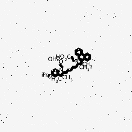 CC(C)Oc1ccc2c(c1)C(C)(C)/C(=C/C=C/C=C/C1=[N+](CCC(=O)O)c3c(c4ccccc4c4ccccc34)C1(C)C)N2CCOC=O